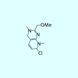 COCC1=NC2=C(C=CC(Cl)N2C)CN1C